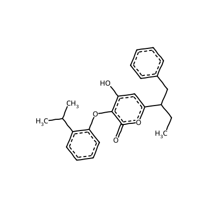 CCC(Cc1ccccc1)c1cc(O)c(Oc2ccccc2C(C)C)c(=O)o1